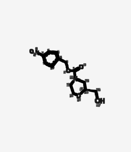 O=C(OCc1ccc([N+](=O)[O-])cc1)N1CCO[C@H](CO)C1